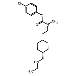 CCNC[C@H]1CC[C@H](CCN(C)C(=O)Oc2ccc(Cl)cc2)CC1